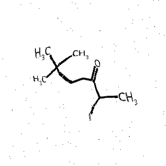 CC(I)C(=O)CC(C)(C)C